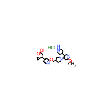 COc1cc(N2CCC(COc3cc([C@@H](CC(=O)O)C4CC4)ccn3)CC2)c(C2CCNCC2)cn1.Cl